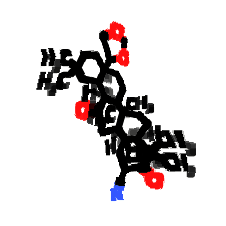 CC1(C)CC[C@]2(C3COCO3)CC[C@]3(C)[C@@H](C(=O)C[C@@H]4[C@@]5(C)C=C(C#N)C(=O)C(C)(C)[C@@H]5CC[C@]43C)C2C1